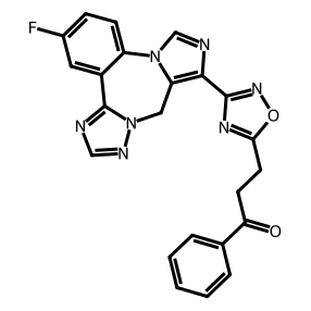 O=C(CCc1nc(-c2ncn3c2Cn2ncnc2-c2cc(F)ccc2-3)no1)c1ccccc1